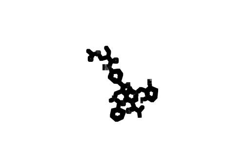 CCC(COC(C)=O)C(=O)Nc1ccc(-c2sc3c(c2CN(C)Cc2ccccc2)c(=O)c(C(=O)C(C)C)cn3Cc2c(F)cccc2F)cc1